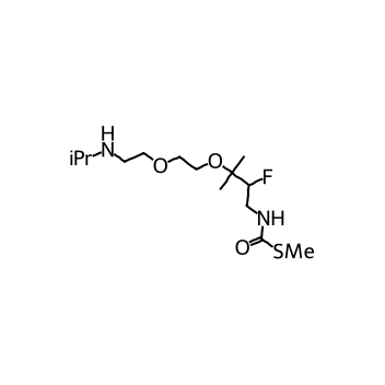 CSC(=O)NCC(F)C(C)(C)OCCOCCNC(C)C